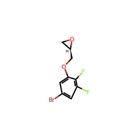 Fc1cc(Br)cc(OC[C@H]2CO2)c1F